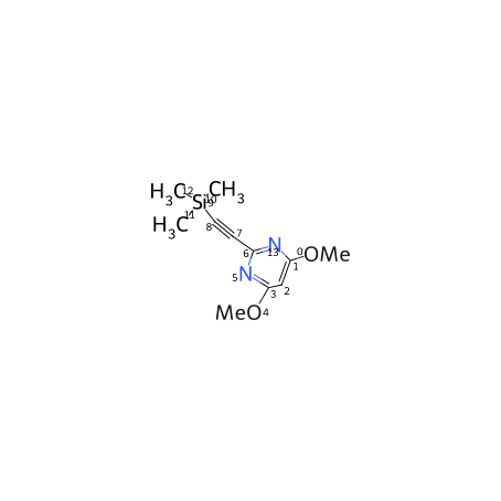 COc1cc(OC)nc(C#C[Si](C)(C)C)n1